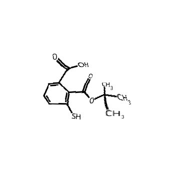 CC(C)(C)OC(=O)c1c(S)cccc1C(=O)O